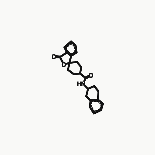 O=C1OC2(CCC(C(=O)NC3CCc4ccccc4C3)CC2)c2ccccc21